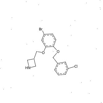 Clc1cccc(COc2ccc(Br)cc2OCC2CNC2)c1